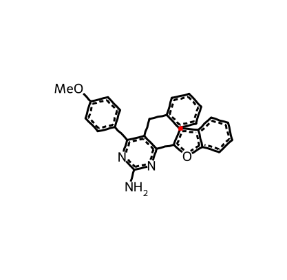 COc1ccc(-c2nc(N)nc(-c3cc4ccccc4o3)c2Cc2ccccc2)cc1